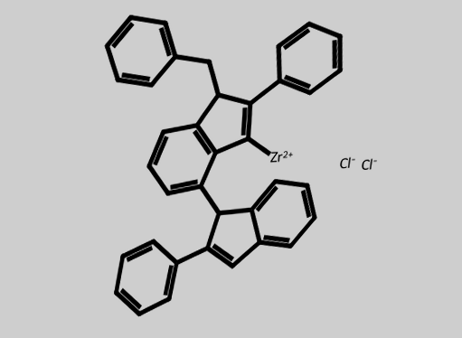 [Cl-].[Cl-].[Zr+2][C]1=C(c2ccccc2)C(Cc2ccccc2)c2cccc(C3C(c4ccccc4)=Cc4ccccc43)c21